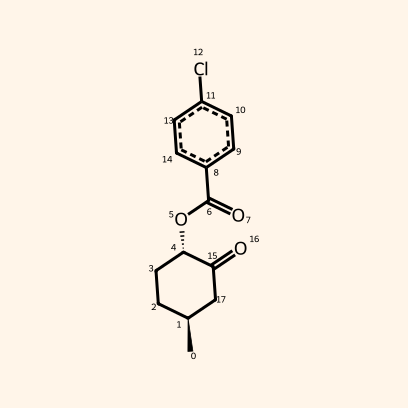 C[C@H]1CC[C@H](OC(=O)c2ccc(Cl)cc2)C(=O)C1